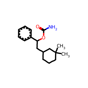 CC1(C)CCCC(CC(OC(N)=O)c2ccccc2)C1